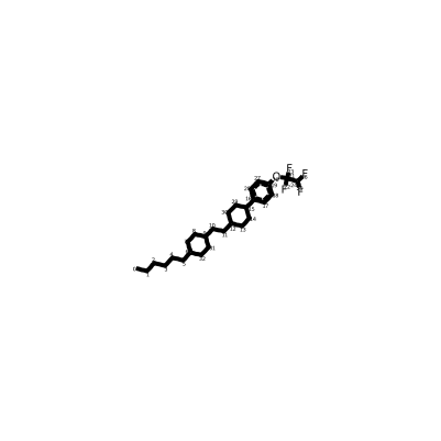 CCCCCCC1CCC(CCC2CCC(c3ccc(OC(F)(F)C(F)F)cc3)CC2)CC1